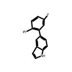 CC(C)c1ccc(F)cc1-c1ccc2[nH]ccc2c1